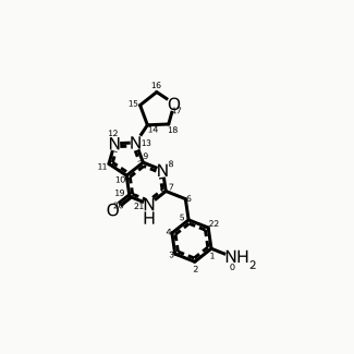 Nc1cccc(Cc2nc3c(cnn3C3CCOC3)c(=O)[nH]2)c1